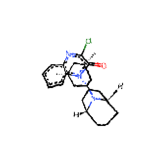 C[C@@H]1C[C@H](C)C[C@@H](N2[C@@H]3CCC[C@H]2C[C@@H](n2c(=O)c(Cl)nc4ccccc42)C3)C1